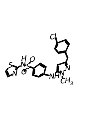 Cn1nc(Cc2ccc(Cl)cc2)cc1Nc1ccc(S(=O)(=O)Nc2nccs2)cc1